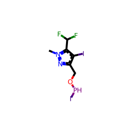 Cn1nc(COPI)c(I)c1C(F)F